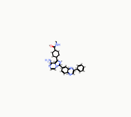 CNC(=O)C1CCC(c2nc(-c3ccc4ncc(-c5ccccc5)nc4c3)n3ccnc(N)c23)CC1